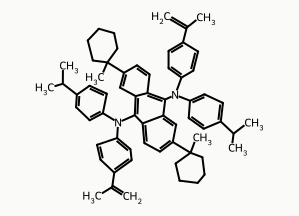 C=C(C)c1ccc(N(c2ccc(C(C)C)cc2)c2c3ccc(C4(C)CCCCC4)cc3c(N(c3ccc(C(=C)C)cc3)c3ccc(C(C)C)cc3)c3ccc(C4(C)CCCCC4)cc23)cc1